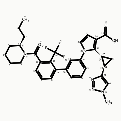 CCC[C@@H]1CCCCN1C(=O)c1cccc(-c2cccc(-n3ccc(C(=O)O)c3[C@@H]3C[C@H]3c3cn(C)nn3)c2)c1C(F)(F)F